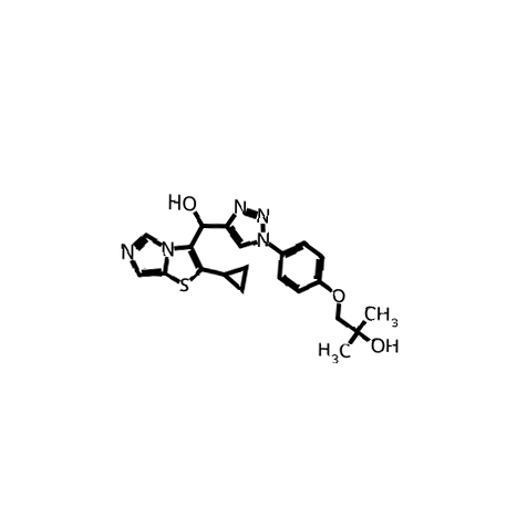 CC(C)(O)COc1ccc(-n2cc(C(O)c3c(C4CC4)sc4cncn34)nn2)cc1